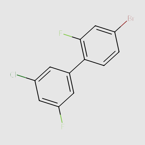 Fc1cc(Cl)cc(-c2ccc(Br)cc2F)c1